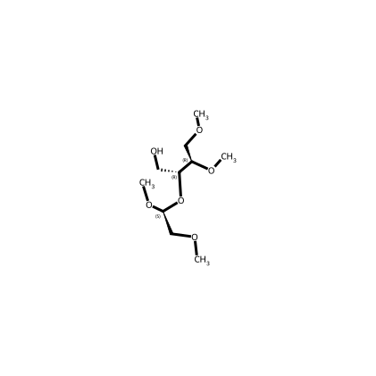 COC[C@@H](OC)O[C@H](CO)[C@@H](COC)OC